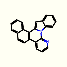 c1ccc2c(c1)ccc1c3cccnc3n3c4ccccc4cc3c21